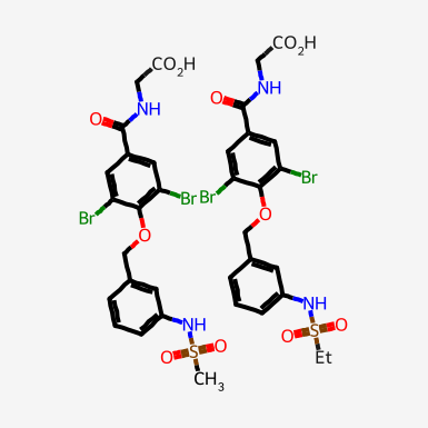 CCS(=O)(=O)Nc1cccc(COc2c(Br)cc(C(=O)NCC(=O)O)cc2Br)c1.CS(=O)(=O)Nc1cccc(COc2c(Br)cc(C(=O)NCC(=O)O)cc2Br)c1